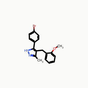 COc1ccccc1Cc1c(C)n[nH]c1-c1ccc(Br)cc1